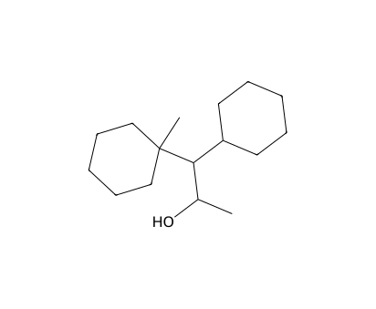 CC(O)C(C1CCCCC1)C1(C)CCCCC1